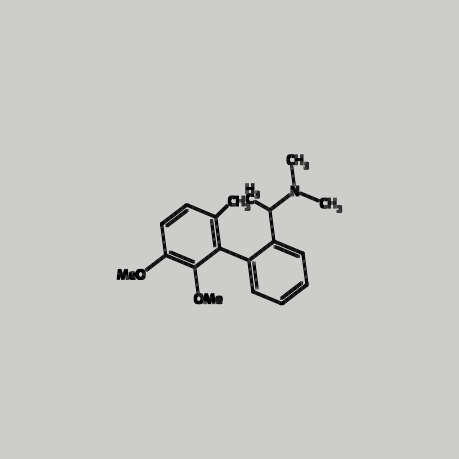 COc1ccc(C)c(-c2ccccc2C(C)N(C)C)c1OC